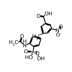 CC(=O)Nc1ccccc1[As](=O)(O)OO.Cc1cc(C(=O)O)cc([N+](=O)[O-])c1